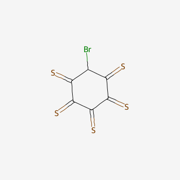 S=C1C(=S)C(=S)C(Br)C(=S)C1=S